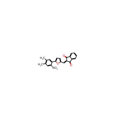 Cc1cc(-c2ccc(C=C3C(=O)c4ccccc4C3=O)o2)c([N+](=O)[O-])cc1C